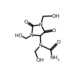 NC(=O)N(CO)C1C(=O)N(CO)C(=O)N1CO